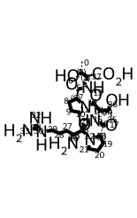 C[C@@H](O)[C@H](NC(=O)[C@@H]1CCCN1C(=O)[C@@H](NC(=O)[C@@H]1CCCN1C(=O)[C@@H](N)CCCNC(=N)N)[C@@H](C)O)C(=O)O